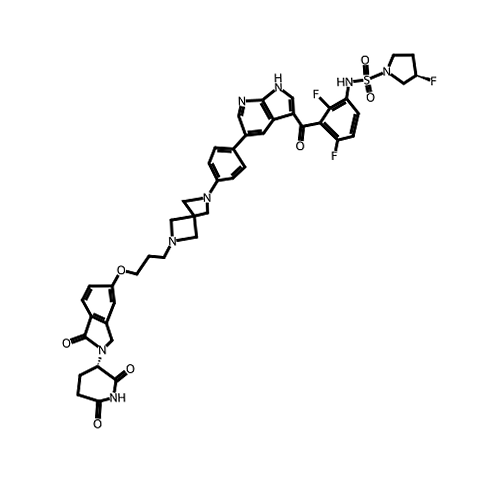 O=C1CC[C@H](N2Cc3cc(OCCCN4CC5(C4)CN(c4ccc(-c6cnc7[nH]cc(C(=O)c8c(F)ccc(NS(=O)(=O)N9CC[C@@H](F)C9)c8F)c7c6)cc4)C5)ccc3C2=O)C(=O)N1